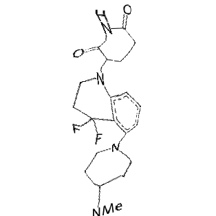 CNC1CCN(c2cccc3c2C(F)(F)CCN3C2CCC(=O)NC2=O)CC1